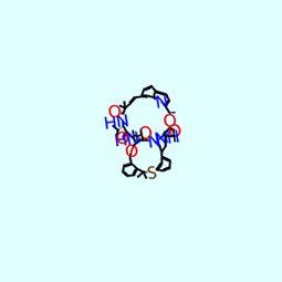 CC(C)[C@@H]1NC(=O)C(C)(C)/C=C/c2ccc3ccc(nc3c2)[C@@H](C)OC(=O)[C@@H]2CC3CN(N2)C(=O)[C@H](COCc2ccccc2C(C)(C)Sc2cccc3c2)NC1=O